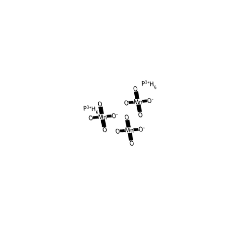 [O]=[Mn](=[O])([O-])[O-].[O]=[Mn](=[O])([O-])[O-].[O]=[Mn](=[O])([O-])[O-].[PH6+3].[PH6+3]